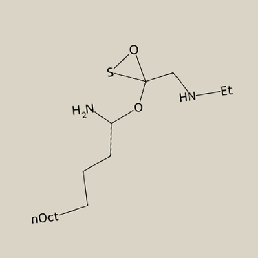 CCCCCCCCCCCC(N)OC1(CNCC)OS1